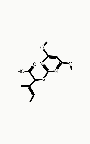 CC=C(C)C(Sc1nc(OC)cc(OC)n1)C(=O)O